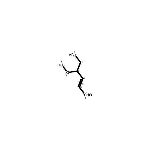 CCCCCC(/C=C/C=O)OO